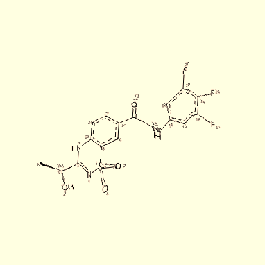 C[C@H](O)C1=NS(=O)(=O)c2cc(C(=O)Nc3cc(F)c(F)c(F)c3)ccc2N1